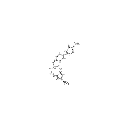 COc1ccc(-c2ccc(CN3CCOc4nc([N+](=O)[O-])cn4CC3)cc2)cn1